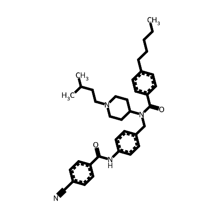 CCCCCc1ccc(C(=O)N(Cc2ccc(NC(=O)c3ccc(C#N)cc3)cc2)C2CCN(CCC(C)C)CC2)cc1